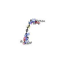 COC(=O)N[C@H](C(=O)N1CCCC1c1ncc(-c2ccc(C3CSc4c(-c5cnc(C6CCCN6C(=O)[C@H](NC(=O)OC)C(C)C)[nH]5)csc43)cc2)[nH]1)C(C)C